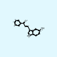 O=C(/C=C/c1c[nH]c2ccc(O)cc12)c1ccccc1